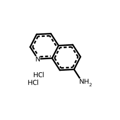 Cl.Cl.Nc1ccc2cccnc2c1